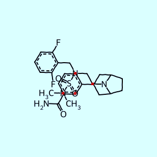 CN(C)S(=O)(=O)N(CCN1C2CCC1CC(c1cccc(C(N)=O)c1)C2)Cc1c(F)cccc1F